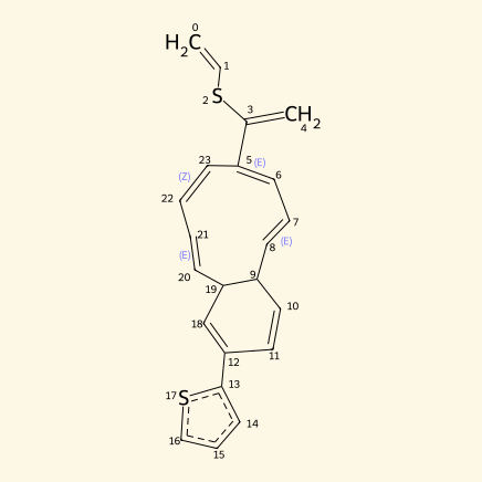 C=CSC(=C)C1=C/C=C/C2C=CC(c3cccs3)=CC2/C=C/C=C\1